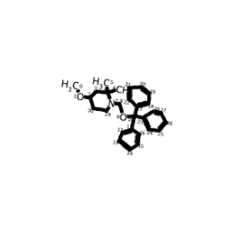 COC1[CH]C(C)(C)N(COC(c2ccccc2)(c2ccccc2)c2ccccc2)CC1